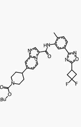 Cc1ccc(-c2noc(C3CC(F)(F)C3)n2)cc1NC(=O)c1cnc2cc(C3CCN(C(=O)OC(C)(C)C)CC3)ccn12